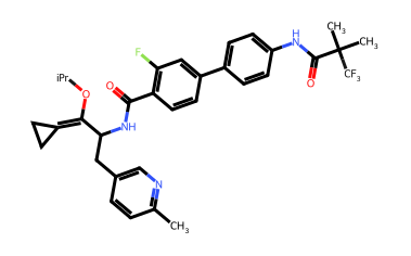 Cc1ccc(CC(NC(=O)c2ccc(-c3ccc(NC(=O)C(C)(C)C(F)(F)F)cc3)cc2F)C(OC(C)C)=C2CC2)cn1